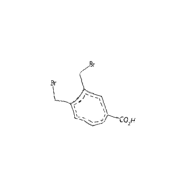 O=C(O)c1ccc(CBr)c(CBr)c1